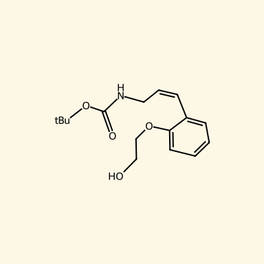 CC(C)(C)OC(=O)NC/C=C\c1ccccc1OCCO